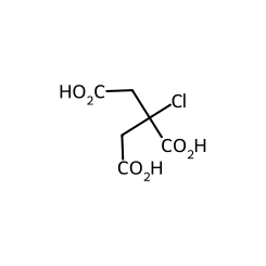 O=C(O)CC(Cl)(CC(=O)O)C(=O)O